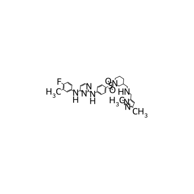 Cc1cc(CNCC2CCCN(S(=O)(=O)c3ccc(Nc4nccc(Nc5ccc(F)c(C)c5)n4)cc3)C2)n(C)n1